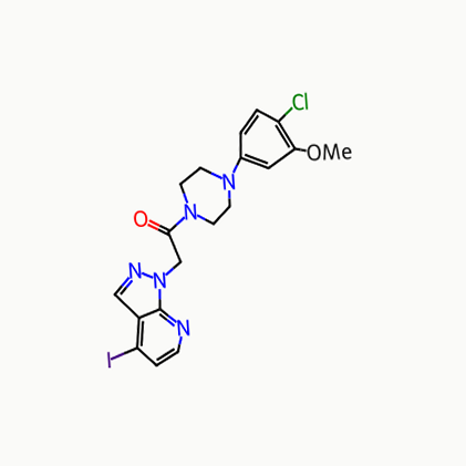 COc1cc(N2CCN(C(=O)Cn3ncc4c(I)ccnc43)CC2)ccc1Cl